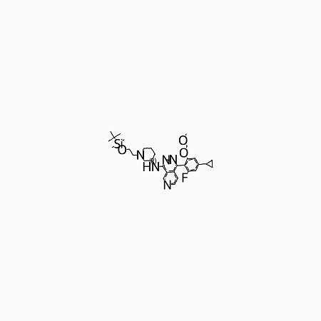 COCOc1cc(C2CC2)cc(F)c1-c1nnc(N[C@@H]2CCCN(CCO[Si](C)(C)C(C)(C)C)C2)c2cnccc12